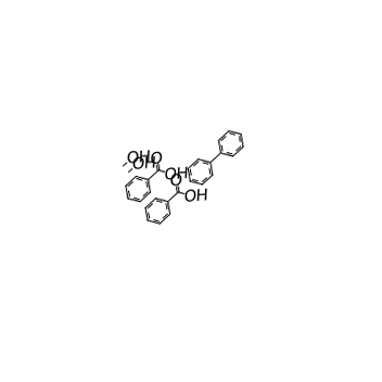 CO.CO.O=C(O)c1ccccc1.O=C(O)c1ccccc1.c1ccc(-c2ccccc2)cc1